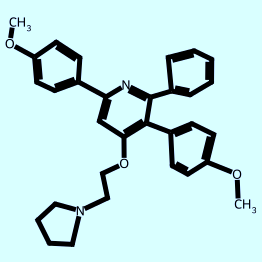 COc1ccc(-c2cc(OCCN3CCCC3)c(-c3ccc(OC)cc3)c(-c3ccccc3)n2)cc1